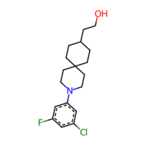 OCCC1CCC2(CC1)CCN(c1cc(F)cc(Cl)c1)CC2